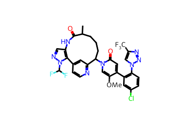 COc1cn(C2CCCC(C)C(=O)Nc3cnn(C(F)F)c3-c3ccnc2c3)c(=O)cc1-c1cc(Cl)ccc1-n1cc(C(F)(F)F)nn1